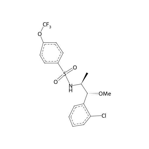 CO[C@H](c1ccccc1Cl)[C@H](C)NS(=O)(=O)c1ccc(OC(F)(F)F)cc1